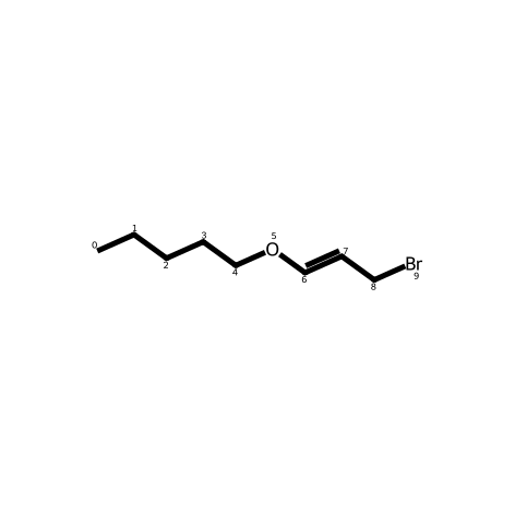 CCCCCOC=CCBr